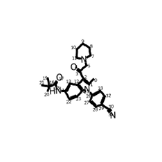 Cc1c(C(=O)CN2CCCCC2)c2cc(NC(=O)C(C)(C)C)ccc2n1-c1ccc(C#N)cc1